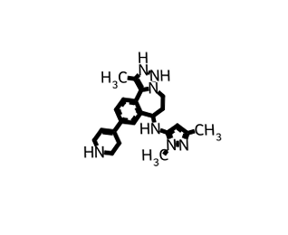 CC1=C2c3ccc(C4=CCNCC4)cc3C(Nc3cc(C)nn3C)CCN2NN1